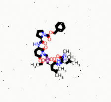 CCOP(=O)(C[C@@H](CC(C)C)C(=O)N[C@@H](CC(C)C)C(=O)NC)CN1C(=O)CC[C@@H](NC(=O)[C@H]2CCCN2C(=O)OCc2ccccc2)C1=O